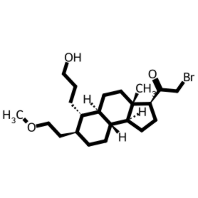 COCC[C@@H]1CC[C@@H]2[C@H](CC[C@]3(C)[C@@H](C(=O)CBr)CC[C@@H]23)[C@H]1CCCO